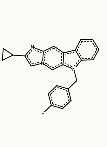 Fc1ccc(Cn2c3ccccc3c3cc4nc(C5CC5)cn4cc32)cc1